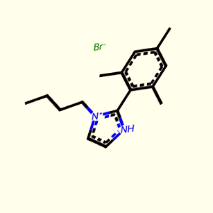 CCCC[n+]1cc[nH]c1-c1c(C)cc(C)cc1C.[Br-]